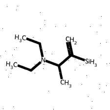 C=C([SiH3])C(C)N(CC)CC